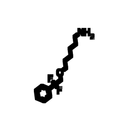 NCCCCCCOCC(F)(F)c1ccccc1